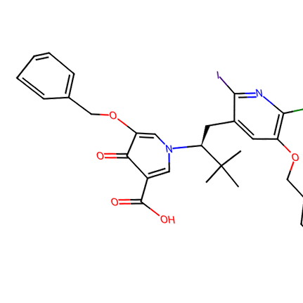 COCCCOc1cc(C[C@H](n2cc(OCc3ccccc3)c(=O)c(C(=O)O)c2)C(C)(C)C)c(I)nc1Cl